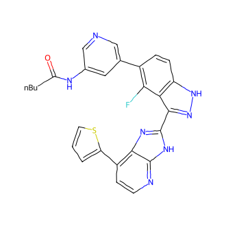 CCCCC(=O)Nc1cncc(-c2ccc3[nH]nc(-c4nc5c(-c6cccs6)ccnc5[nH]4)c3c2F)c1